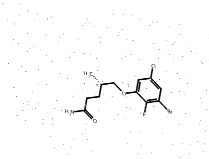 C[C@@H](CCC(N)=O)COc1cc(Cl)cc(Br)c1F